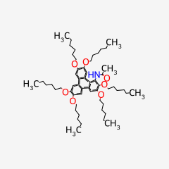 CCCCCCOc1cc2c3cc(OCCCCCC)c(OCCCCCC)cc3c3c(NC(C)=O)c(OCCCCCC)c(OCCCCCC)cc3c2cc1OCCCCCC